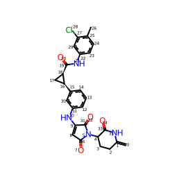 C=C1CCC(N2C(=O)C=C(Nc3cccc([C@H]4C[C@H]4C(=O)Nc4ccc(C)c(Cl)c4)c3)C2=O)C(=O)N1